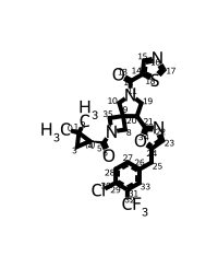 CC1(C)C[C@@H]1C(=O)N1CC2(CN(C(=O)c3cncs3)CC2c2ncc(Cc3ccc(Cl)c(C(F)(F)F)c3)o2)C1